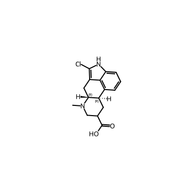 CN1CC(C(=O)O)C[C@@H]2c3cccc4[nH]c(Cl)c(c34)C[C@H]21